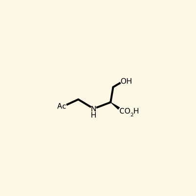 CC(=O)CN[C@@H](CO)C(=O)O